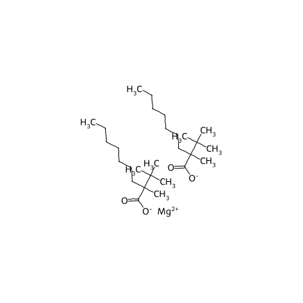 CCCCCCCC(C)(C(=O)[O-])C(C)(C)C.CCCCCCCC(C)(C(=O)[O-])C(C)(C)C.[Mg+2]